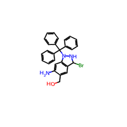 Nc1cc2c(cc1CO)C(Br)NN2C(c1ccccc1)(c1ccccc1)c1ccccc1